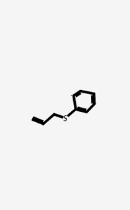 C=CCSc1[c]cccc1